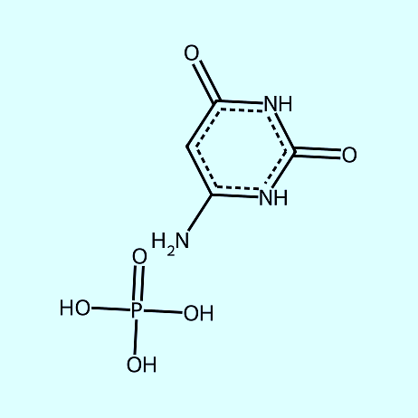 Nc1cc(=O)[nH]c(=O)[nH]1.O=P(O)(O)O